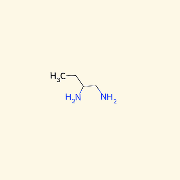 CCC(N)CN